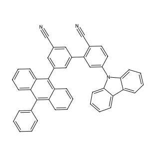 N#Cc1cc(-c2cc(-n3c4ccccc4c4ccccc43)ccc2C#N)cc(-c2c3ccccc3c(-c3ccccc3)c3ccccc23)c1